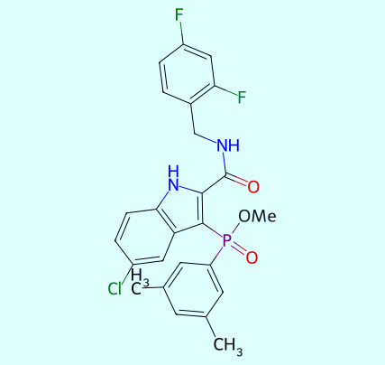 COP(=O)(c1cc(C)cc(C)c1)c1c(C(=O)NCc2ccc(F)cc2F)[nH]c2ccc(Cl)cc12